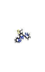 CC(=S)c1cc(-c2ccccn2)nc(-c2ccccn2)c1